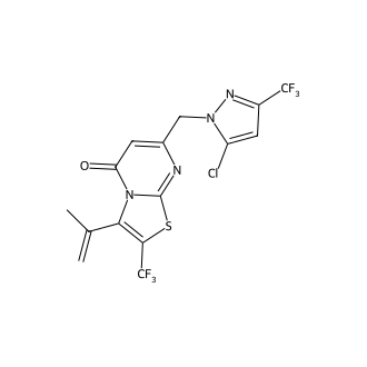 C=C(C)c1c(C(F)(F)F)sc2nc(Cn3nc(C(F)(F)F)cc3Cl)cc(=O)n12